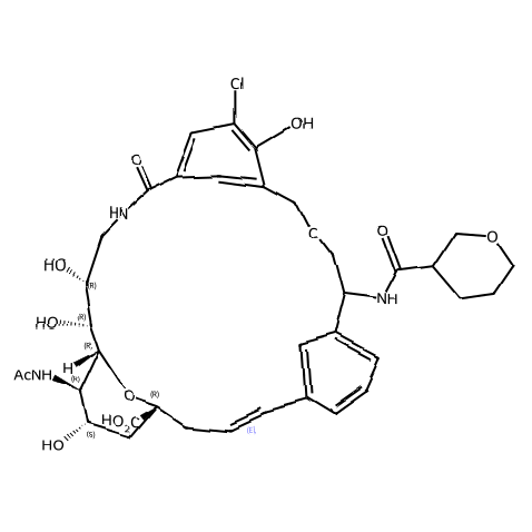 CC(=O)N[C@H]1[C@H]2O[C@](C(=O)O)(C/C=C/c3cccc(c3)C(NC(=O)C3CCCOC3)CCCc3cc(cc(Cl)c3O)C(=O)NC[C@@H](O)[C@H]2O)C[C@@H]1O